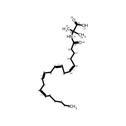 CCCCC/C=C\C/C=C\C/C=C\C/C=C\CCCC(=O)NC(C)(C)C(=O)O